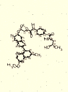 COc1cnc2c(-c3nc4cc(F)c(O[C@@H](C)COC(=O)Nc5ccc(C(=O)NC[C@@H](C)O)nc5)cc4s3)cc(C)cc2n1